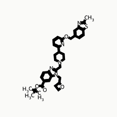 Cc1nc2cc(COc3cccc(C4CCN(Cc5nc6ccc(C(=O)OC(C)(C)C)cc6n5CC5CCO5)CC4)n3)ccc2s1